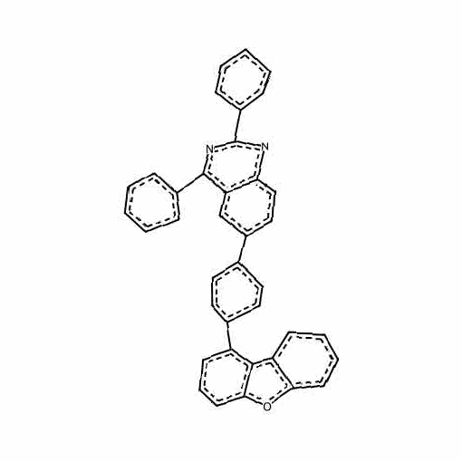 c1ccc(-c2nc(-c3ccccc3)c3cc(-c4ccc(-c5cccc6oc7ccccc7c56)cc4)ccc3n2)cc1